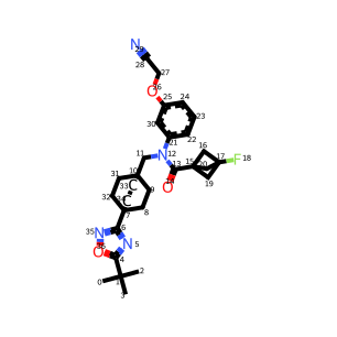 CC(C)(C)c1nc(C23CCC(CN(C(=O)C45CC(F)(C4)C5)c4cccc(OCC#N)c4)(CC2)CC3)no1